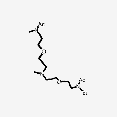 CCN(CCOCCN(C)CCOCCN(C)C(C)=O)C(C)=O